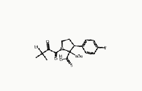 CCCCC1(C(O)=S)C(c2ccc(F)cc2)CCN1C(=O)C(=O)C(C)(C)CC